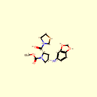 CC(C)(C)OC(=O)N1C[C@@H](Nc2ccc3c(c2)OCO3)C[C@H]1C(=O)N1CCSC1